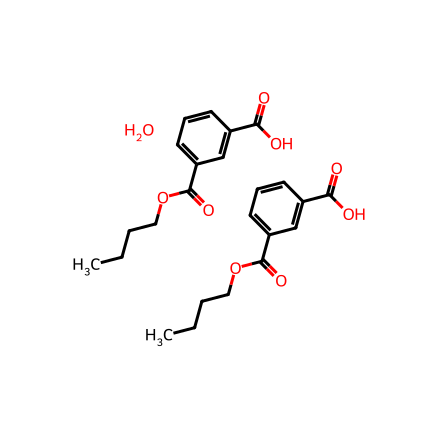 CCCCOC(=O)c1cccc(C(=O)O)c1.CCCCOC(=O)c1cccc(C(=O)O)c1.O